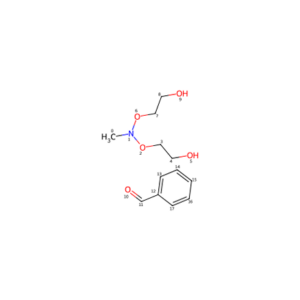 CN(OCCO)OCCO.O=Cc1ccccc1